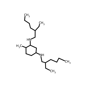 CCCCC(CC)CNC1CCC(C)C(NCC(CC)CCCC)C1